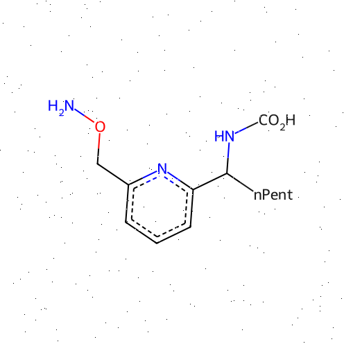 CCCCCC(NC(=O)O)c1cccc(CON)n1